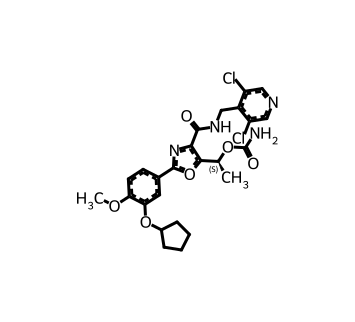 COc1ccc(-c2nc(C(=O)NCc3c(Cl)cncc3Cl)c([C@H](C)OC(N)=O)o2)cc1OC1CCCC1